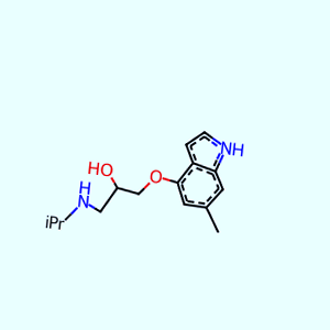 Cc1cc(OCC(O)CNC(C)C)c2cc[nH]c2c1